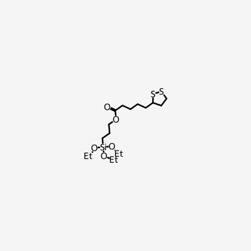 CCO[Si](CCCOC(=O)CCCCC1CCSS1)(OCC)OCC